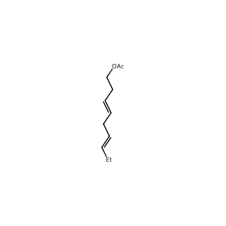 CCC=CCC=CCCOC(C)=O